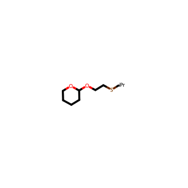 CC(C)SCCOC1CCCCO1